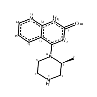 C[C@H]1CNCCN1c1nc(=O)[nH]c2ncccc12